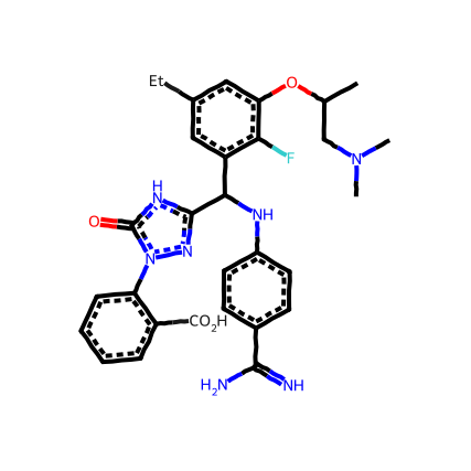 CCc1cc(OC(C)CN(C)C)c(F)c(C(Nc2ccc(C(=N)N)cc2)c2nn(-c3ccccc3C(=O)O)c(=O)[nH]2)c1